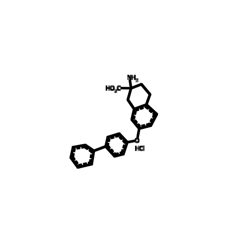 Cl.NC1(C(=O)O)CCc2ccc(Oc3ccc(-c4ccccc4)cc3)cc2C1